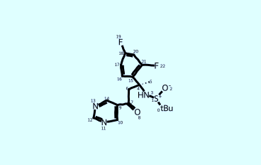 CC(C)(C)[S+]([O-])N[C@@](C)(CC(=O)c1cncnc1)c1ccc(F)cc1F